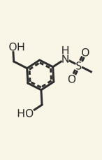 CS(=O)(=O)Nc1cc(CO)cc(CO)c1